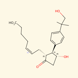 CC(C)(CO)c1ccc([C@H]2[C@H](O)CC(=O)[C@@H]2C/C=C\CCCC(=O)O)cc1